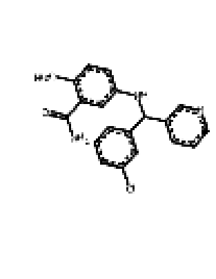 COc1ccc(NC(c2cccnc2)c2cccc(Cl)c2)cc1C(N)=O